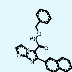 O=C(NOCc1ccccc1)c1c(-c2ccc3ccccc3c2)nc2occn12